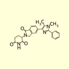 Cc1c(-c2ccc3c(c2)CN(C2CCC(=O)NC2=O)C3=O)nc(-c2ccccc2)n1C